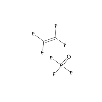 FC(F)=C(F)F.O=P(F)(F)F